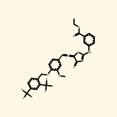 CCOC(=O)c1cccc(NC2=NC(=O)C(=C=Cc3ccc(OCc4ccc(C(F)(F)F)cc4C(F)(F)F)c(OC)c3)S2)c1